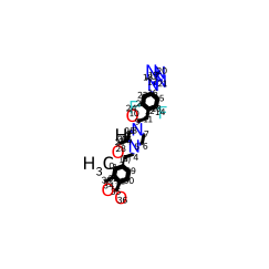 Cc1c([C@@H]2CN3CCN(C(=O)Cc4c(F)cc(-n5cnnn5)cc4F)C[C@@H]3CO2)ccc2c1COC2=O